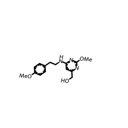 COc1ccc(CCNc2cc(CO)nc(OC)n2)cc1